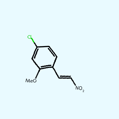 COc1cc(Cl)ccc1C=C[N+](=O)[O-]